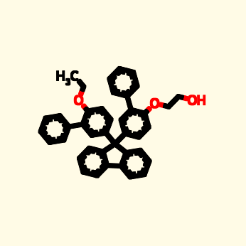 CCOc1ccc(C2(c3ccc(OCCO)c(-c4ccccc4)c3)c3ccccc3-c3ccccc32)cc1-c1ccccc1